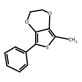 Cc1sc(-c2ccccc2)c2c1OCCO2